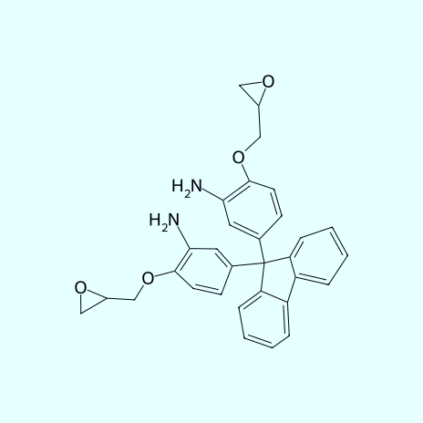 Nc1cc(C2(c3ccc(OCC4CO4)c(N)c3)c3ccccc3-c3ccccc32)ccc1OCC1CO1